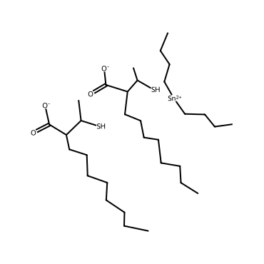 CCCCCCCCC(C(=O)[O-])C(C)S.CCCCCCCCC(C(=O)[O-])C(C)S.CCC[CH2][Sn+2][CH2]CCC